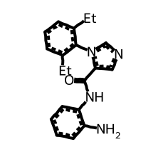 CCc1cccc(CC)c1-n1cncc1C(=O)Nc1ccccc1N